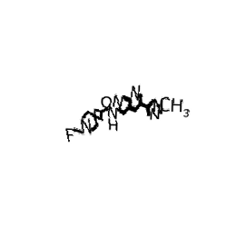 Cn1cc(-c2cnc3cnc(NC(=O)C4CC5(CCN(CCF)CC5)C4)cc3c2)cn1